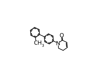 Cc1ccccc1-c1ccc(N2CCC=CC2=O)cc1